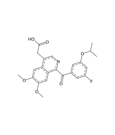 COc1cc2c(CC(=O)O)cnc(C(=O)c3cc(F)cc(OC(C)C)c3)c2cc1OC